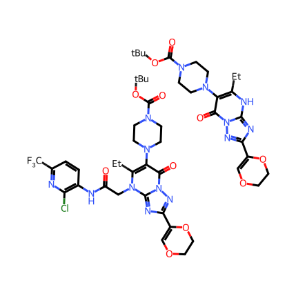 CCc1[nH]c2nc(C3=COCCO3)nn2c(=O)c1N1CCN(C(=O)OC(C)(C)C)CC1.CCc1c(N2CCN(C(=O)OC(C)(C)C)CC2)c(=O)n2nc(C3=COCCO3)nc2n1CC(=O)Nc1ccc(C(F)(F)F)nc1Cl